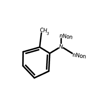 CCCCCCCCCN(CCCCCCCCC)c1ccccc1C